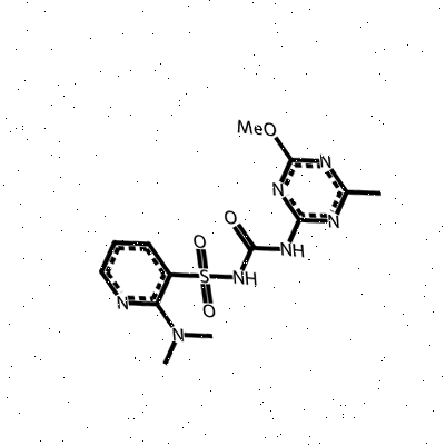 COc1nc(C)nc(NC(=O)NS(=O)(=O)c2cccnc2N(C)C)n1